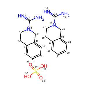 N=C(N)N1CCc2ccccc2C1.N=C(N)N1CCc2ccccc2C1.O=S(=O)(O)O